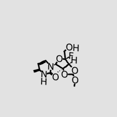 C=C1C=CN([C@@H]2O[C@](F)(CO)[C@H]3OC(OC)O[C@@]23C)C(=O)N1